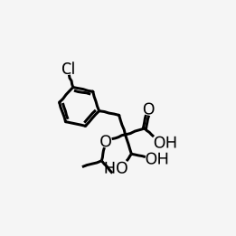 CC(C)OC(Cc1cccc(Cl)c1)(C(=O)O)C(O)O